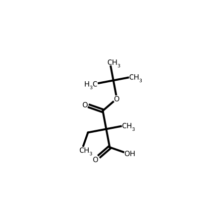 CCC(C)(C(=O)O)C(=O)OC(C)(C)C